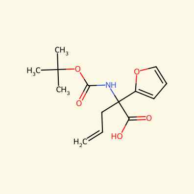 C=CCC(NC(=O)OC(C)(C)C)(C(=O)O)c1ccco1